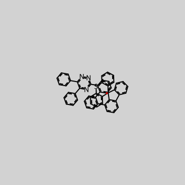 c1ccc(-c2nnc(-c3ccccc3-c3ccccc3-c3cccc4c3C3(c5ccccc5Sc5ccccc53)c3ccccc3-4)nc2-c2ccccc2)cc1